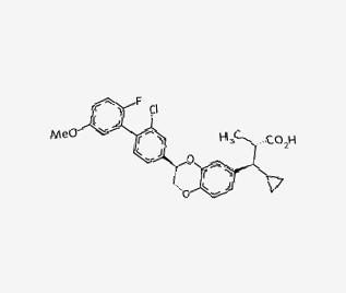 COc1ccc(F)c(-c2ccc([C@@H]3COc4ccc([C@H](C5CC5)[C@H](C)C(=O)O)cc4O3)cc2Cl)c1